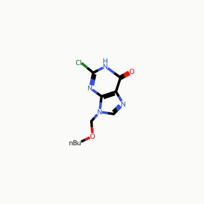 CCCCOCn1cnc2c(=O)[nH]c(Cl)nc21